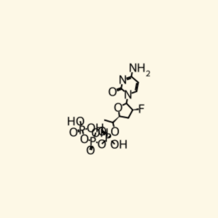 CC(OP(=O)(O)OP(=O)(O)OP(=O)(O)O)[C@@H]1C[C@H](F)C(n2ccc(N)nc2=O)O1